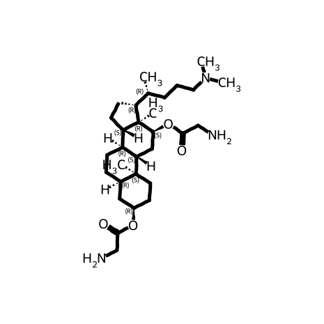 C[C@H](CCCN(C)C)[C@H]1CC[C@H]2[C@@H]3CC[C@@H]4C[C@H](OC(=O)CN)CC[C@]4(C)[C@H]3C[C@H](OC(=O)CN)[C@]12C